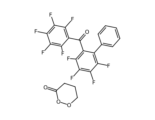 O=C(c1c(F)c(F)c(F)c(F)c1F)c1c(F)c(F)c(F)c(F)c1-c1ccccc1.O=C1CCCOO1